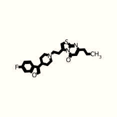 CCCc1cc(=O)n2c(CCN3CCC(c4coc5cc(F)ccc45)CC3)csc2n1